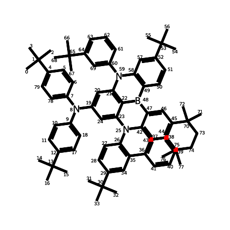 CC(C)(C)c1ccc(N(c2ccc(C(C)(C)C)cc2)c2cc3c4c(c2)N(c2ccc(C(C)(C)C)cc2-c2ccccc2)c2cc5c(cc2B4c2ccc(C(C)(C)C)cc2N3c2cccc(C(C)(C)C)c2)C(C)(C)CCC5(C)C)cc1